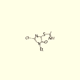 CCn1cc(Cl)nc(SC(C)=N)c1=O